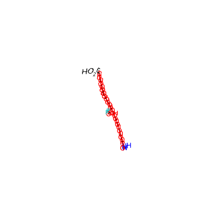 CN(C)C(=O)NCCOCCOCCOCCOCCOCCOCCOCCOCCOCCOCCOCCOCCOCCOCCOCCOCCOCCOCCOCCOCCOCCOCCOCCOCCC(=O)O.O=C(O)C(F)(F)F